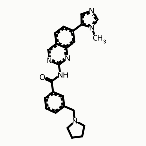 Cn1cncc1-c1ccc2cnc(NC(=O)c3cccc(CN4CCCC4)c3)nc2c1